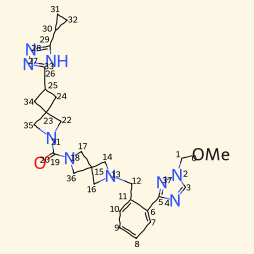 COCn1cnc(-c2ccccc2CN2CC3(C2)CN(C(=O)N2CC4(CC(c5nnc(C6CC6)[nH]5)C4)C2)C3)n1